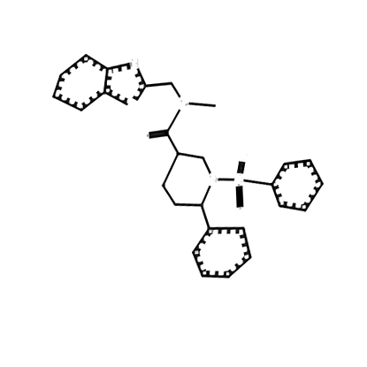 CN(Cc1nc2ccccc2s1)C(=O)C1CCC(c2ccccc2)N(S(=O)(=O)c2ccccc2)C1